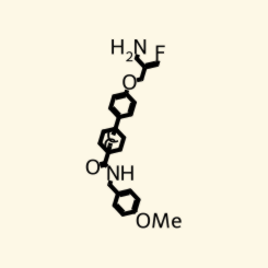 COc1ccc(CNC(=O)C23CCC(c4ccc(OCC(=CF)CN)cc4)(CC2)CC3)cc1